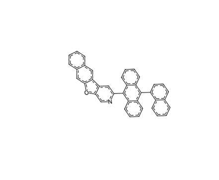 c1ccc2cc3c(cc2c1)oc1cnc(-c2c4ccccc4c(-c4cccc5ccccc45)c4ccccc24)cc13